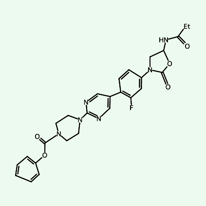 CCC(=O)NC1CN(c2ccc(-c3cnc(N4CCN(C(=O)Oc5ccccc5)CC4)nc3)c(F)c2)C(=O)O1